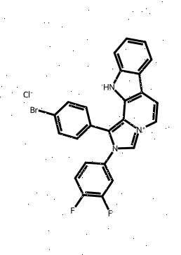 Fc1ccc(-n2c[n+]3ccc4c5ccccc5[nH]c4c3c2-c2ccc(Br)cc2)cc1F.[Cl-]